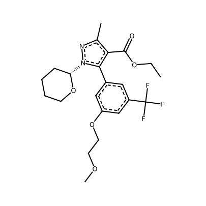 CCOC(=O)c1c(C)nn([C@H]2CCCCO2)c1-c1cc(OCCOC)cc(C(F)(F)F)c1